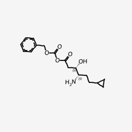 N[C@@H](CCC1CC1)[C@@H](O)CC(=O)OC(=O)OCc1ccccc1